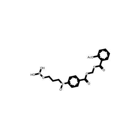 CC(=O)Oc1ccccc1C(=O)OCOC(=O)c1ccc([S+]([O-])CCCON(O)O)cc1